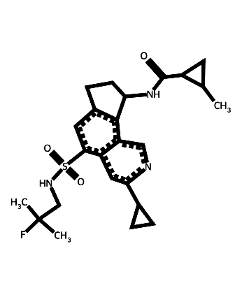 CC1CC1C(=O)NC1CCc2cc(S(=O)(=O)NCC(C)(C)F)c3cc(C4CC4)ncc3c21